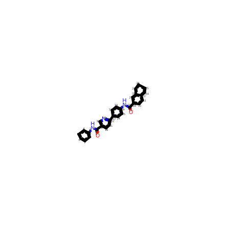 O=C(Nc1ccccc1)c1ccc(-c2ccc(NC(=O)c3ccc4ccccc4c3)cc2)nc1